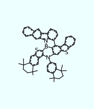 CC1(C)CCC(C)(C)c2cc(N3c4cc5sc6ccccc6c5c5c4B(c4sc6cc7c(cc6c43)C(C)(C)CCC7(C)C)n3c4cc6ccccc6cc4c4cccc-5c43)ccc21